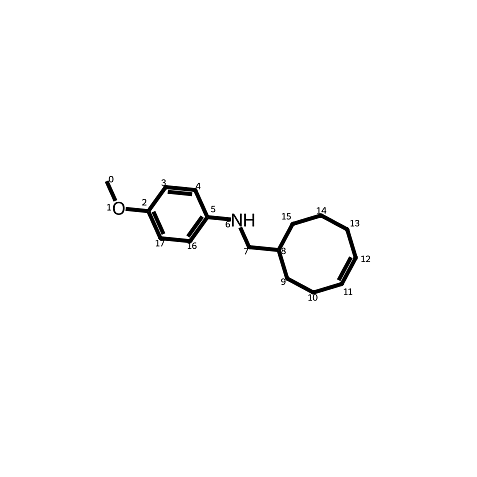 COc1ccc(NCC2CC/C=C\CCC2)cc1